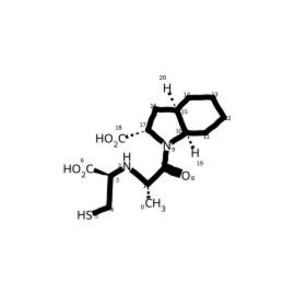 C[C@H](N[C@@H](CS)C(=O)O)C(=O)N1[C@@H]2CCCC[C@@H]2C[C@H]1C(=O)O